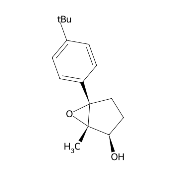 CC(C)(C)c1ccc([C@@]23CC[C@@H](O)[C@]2(C)O3)cc1